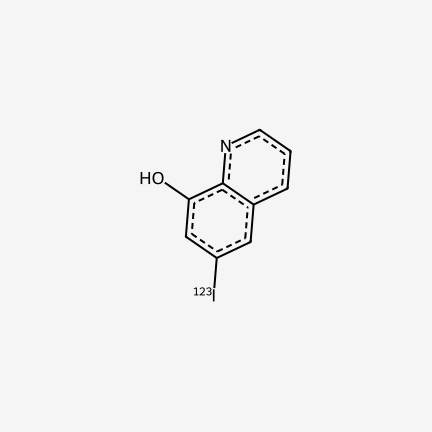 Oc1cc([123I])cc2cccnc12